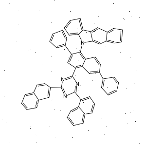 c1ccc(-c2ccc3c(-n4c5ccccc5c5cc6ccccc6cc54)c(-c4ccccc4)cc(-c4nc(-c5ccc6ccccc6c5)nc(-c5cccc6ccccc56)n4)c3c2)cc1